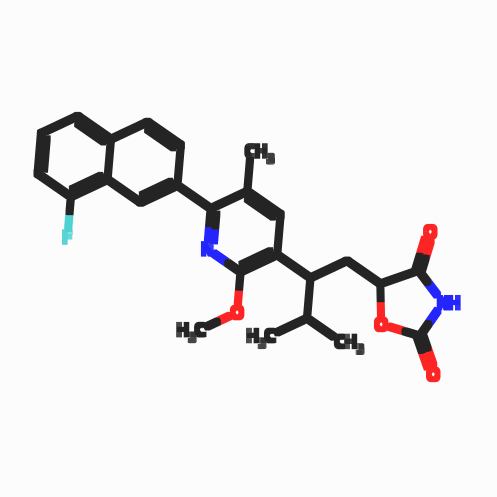 COc1nc(-c2ccc3cccc(F)c3c2)c(C)cc1C(CC1OC(=O)NC1=O)C(C)C